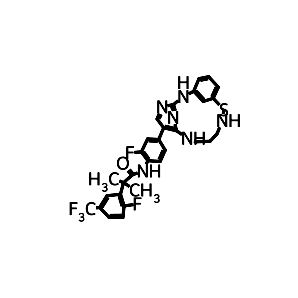 CC(C)(C(=O)Nc1ccc(-c2cnc3nc2NCCCNSc2cccc(c2)N3)cc1F)c1cc(C(F)(F)F)ccc1F